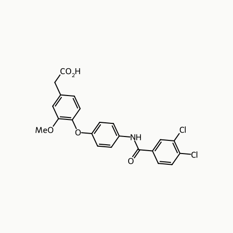 COc1cc(CC(=O)O)ccc1Oc1ccc(NC(=O)c2ccc(Cl)c(Cl)c2)cc1